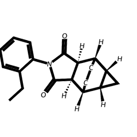 CCc1ccccc1N1C(=O)[C@@H]2[C@@H]3CC[C@@H]([C@@H]4C[C@@H]43)[C@@H]2C1=O